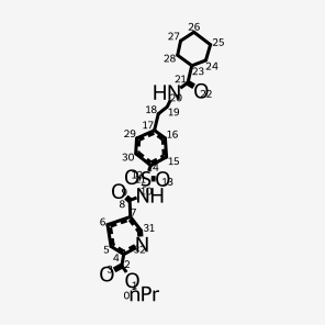 CCCOC(=O)c1ccc(C(=O)NS(=O)(=O)c2ccc(CCNC(=O)C3CCCCC3)cc2)cn1